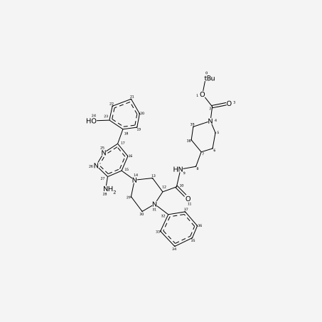 CC(C)(C)OC(=O)N1CCC(CNC(=O)C2CN(c3cc(-c4ccccc4O)nnc3N)CCN2c2ccccc2)CC1